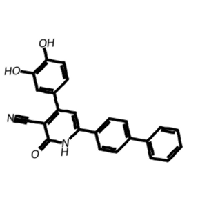 N#Cc1c(-c2ccc(O)c(O)c2)cc(-c2ccc(-c3ccccc3)cc2)[nH]c1=O